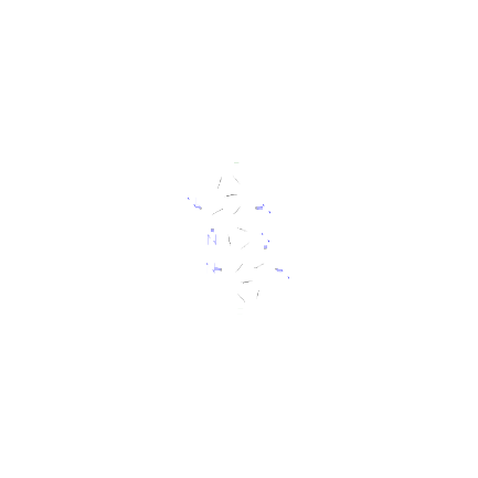 N#CC(C#N)=C1C(c2ccc(C3=C(C#N)c4cc(F)ccc4C3=C(C#N)C#N)cc2)=C(C#N)c2cc(F)ccc21